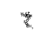 COc1ccc(F)c(C2CCC(COc3cccc(C(C4CC4)C(C)P(=O)(O)O)c3)CC2)c1